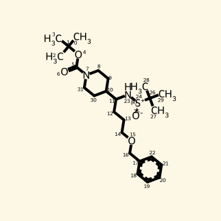 CC(C)(C)OC(=O)N1CCC(C(CCCOCc2ccccc2)N[S@@+]([O-])C(C)(C)C)CC1